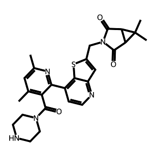 Cc1cc(C)c(C(=O)N2CCNCC2)c(-c2ccnc3cc(CN4C(=O)C5C(C4=O)C5(C)C)sc23)n1